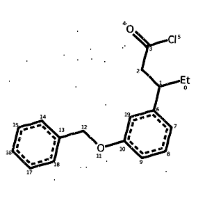 CCC(CC(=O)Cl)c1cccc(OCc2ccccc2)c1